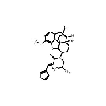 COc1ccc2c3c1OC1C(N(CC(C)C)C(=O)/C=C/c4ccoc4)CC[C@@]4(O)[C@@H](C2)N(C)CC[C@]314